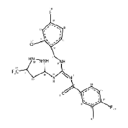 Cc1cc(C(=O)/N=C(/NCc2ccc(F)cc2Cl)NC2CC(C(F)(F)F)NN2)ccc1F